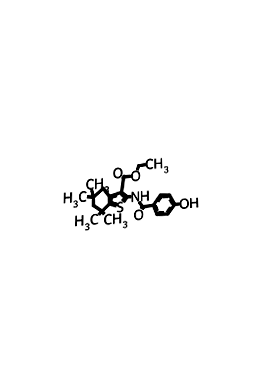 CCOC(=O)c1c(NC(=O)c2ccc(O)cc2)sc2c1CC(C)(C)CC2(C)C